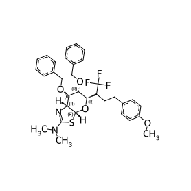 COc1ccc(CCC([C@H]2O[C@@H]3SC(N(C)C)=N[C@@H]3[C@@H](OCc3ccccc3)[C@@H]2OCc2ccccc2)C(F)(F)F)cc1